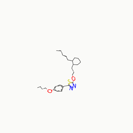 CCCCCC1CCCCC1CCCOc1nnc(-c2ccc(OCCCC)cc2)s1